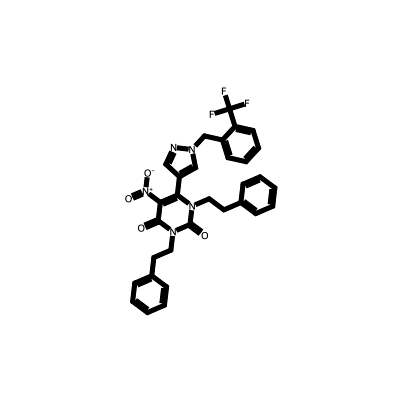 O=c1c([N+](=O)[O-])c(-c2cnn(Cc3ccccc3C(F)(F)F)c2)n(CCc2ccccc2)c(=O)n1CCc1ccccc1